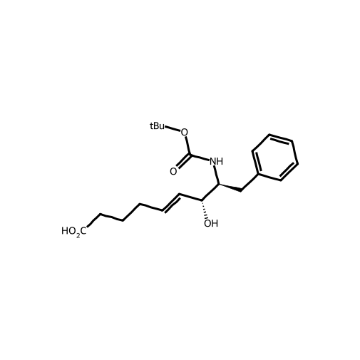 CC(C)(C)OC(=O)N[C@@H](Cc1ccccc1)[C@H](O)C=CCCCC(=O)O